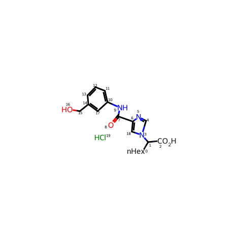 CCCCCCC(C(=O)O)n1cnc(C(=O)Nc2cccc(CO)c2)c1.Cl